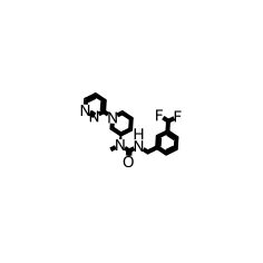 CN(C(=O)NCc1cccc(C(F)F)c1)[C@@H]1CCCN(c2cccnn2)C1